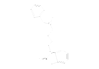 CCN(CCCCN1C(=O)Cc2ccccc21)Cc1ccccc1